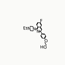 CCN1CCN(c2nc(-c3ccc(OCCO)cc3)cc3cc(F)ccc23)CC1